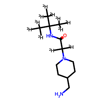 [2H]C([2H])(C(=O)NC(C([2H])([2H])[2H])(C([2H])([2H])[2H])C([2H])([2H])[2H])N1CCC(CN)CC1